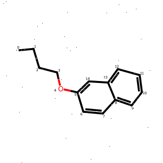 [CH2]CCCOc1ccc2ccccc2c1